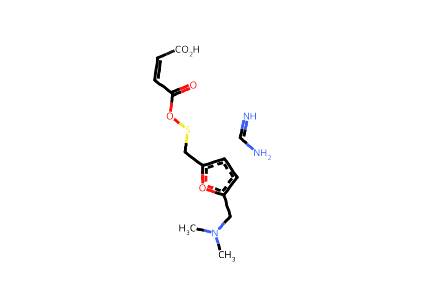 CN(C)Cc1ccc(CSOC(=O)/C=C\C(=O)O)o1.N=CN